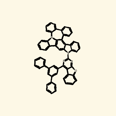 c1ccc(-c2cc(-c3ccccc3)cc(-c3nc(-n4c5ccccc5c5c6c7c(cc54)c4ccccc4n7-c4ccccc4-c4ccccc4-6)nc4oc5ccccc5c34)c2)cc1